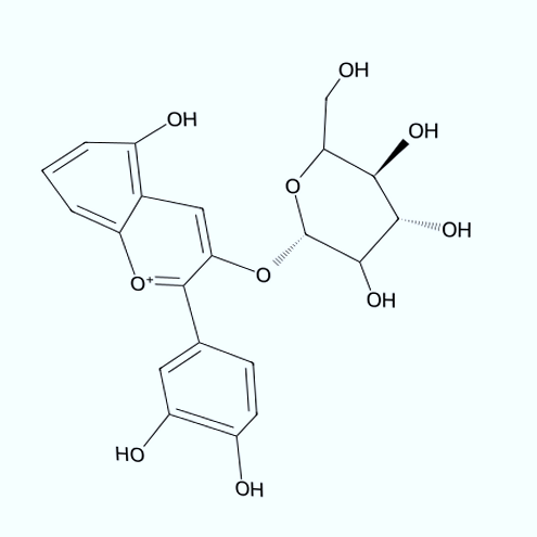 OCC1O[C@@H](Oc2cc3c(O)cccc3[o+]c2-c2ccc(O)c(O)c2)C(O)[C@@H](O)[C@@H]1O